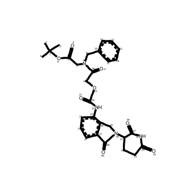 CC(C)(C)OC(=O)CN(Cc1ccccc1)C(=O)COC(=O)Nc1cccc2c1CN(C1CCC(=O)NC1=O)C2=O